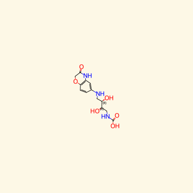 O=C(O)NC[C@@H](O)[C@H](O)CNc1ccc2c(c1)NC(=O)CO2